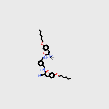 [C-]#[N+]/C(=C/c1ccc(OCCCCCC)cc1)C(=O)NCc1cccc(CNC(=O)/C(C#N)=C\c2ccc(OCCCCCC)cc2)c1